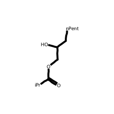 CCCCCCC(O)COC(=O)C(C)C